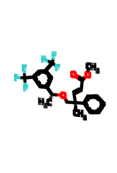 COC(=O)/C=C/[C@@](C)(CO[C@H](C)c1cc(C(F)(F)F)cc(C(F)(F)F)c1)c1ccccc1